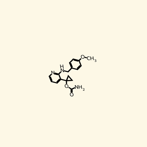 COc1ccc(CNc2ncccc2C2(OC(N)=O)CC2)cc1